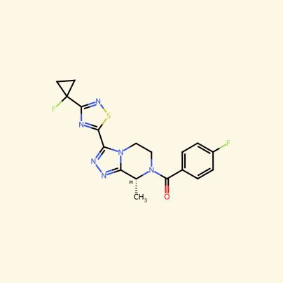 C[C@@H]1c2nnc(-c3nc(C4(F)CC4)ns3)n2CCN1C(=O)c1ccc(F)cc1